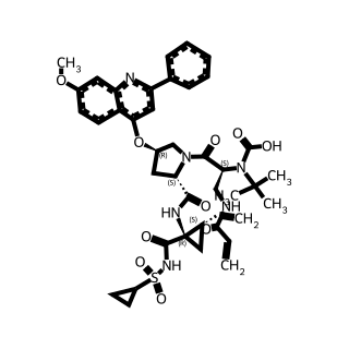 C=CC(=O)NC[C@@H](C(=O)N1C[C@H](Oc2cc(-c3ccccc3)nc3cc(OC)ccc23)C[C@H]1C(=O)N[C@]1(C(=O)NS(=O)(=O)C2CC2)C[C@H]1C=C)N(C(=O)O)C(C)(C)C